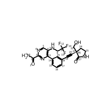 NC(=O)c1ncc(NCC(F)(F)F)c(-c2cccc(C#C[C@@]3(CO)CCNC3=O)c2)n1